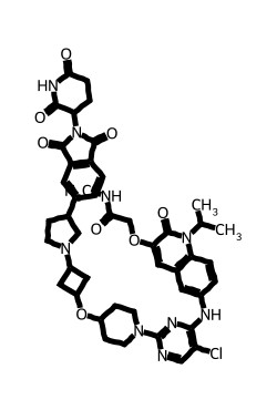 CNC(=O)COc1cc2cc(Nc3nc(N4CCC(OC5CC(N6CCC(c7ccc8c(c7)C(=O)N(C7CCC(=O)NC7=O)C8=O)C6)C5)CC4)ncc3Cl)ccc2n(C(C)C)c1=O